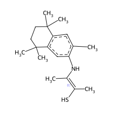 C/C(S)=C(/C)Nc1cc2c(cc1C)C(C)(C)CCC2(C)C